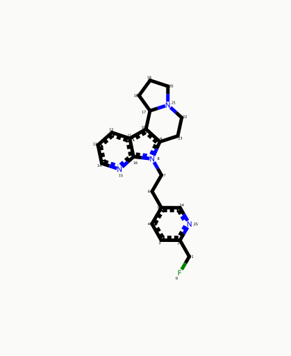 FCc1ccc(CCn2c3c(c4cccnc42)C2CCCN2CC3)cn1